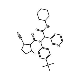 CC(C)(C)c1ccc(N(C(=O)C2C(F)CCN2C#N)C(C(=O)NC2CCCCC2)c2cccnc2)cc1